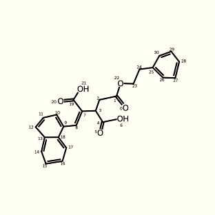 O=C(CC(C(=O)O)C(=Cc1cccc2ccccc12)C(=O)O)OCCc1ccccc1